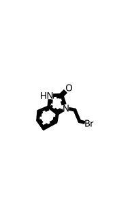 O=c1[nH]c2ccccc2n1CCBr